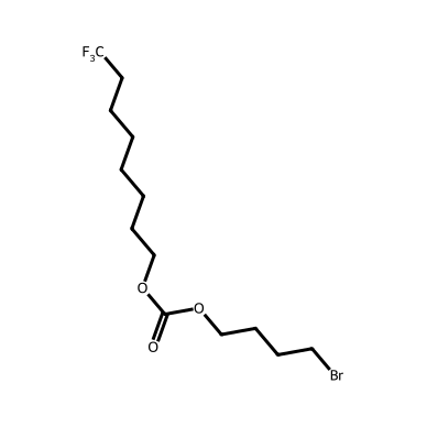 O=C(OCCCCBr)OCCCCCCCC(F)(F)F